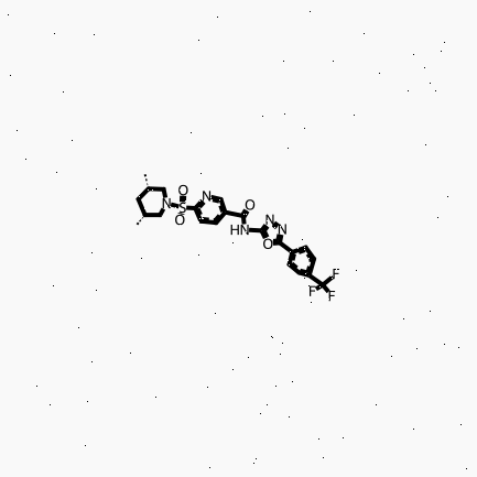 C[C@@H]1C[C@H](C)CN(S(=O)(=O)c2ccc(C(=O)Nc3nnc(-c4ccc(C(F)(F)F)cc4)o3)cn2)C1